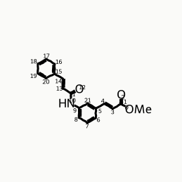 COC(=O)C=Cc1cccc(NC(=O)C=Cc2ccccc2)c1